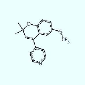 CC1(C)C=C(c2ccncc2)c2cc(SC(F)(F)F)ccc2O1